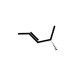 [CH2][C@@H](C)/C=C/C